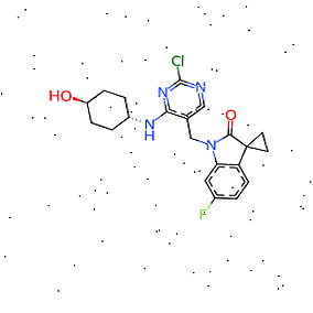 O=C1N(Cc2cnc(Cl)nc2N[C@H]2CC[C@H](O)CC2)c2cc(F)ccc2C12CC2